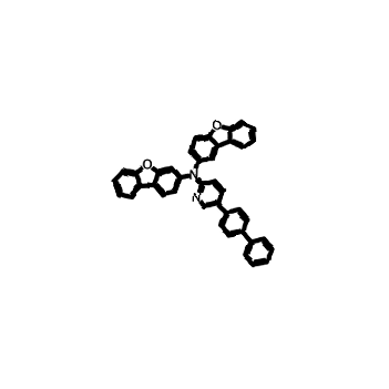 c1ccc(-c2ccc(-c3ccc(N(c4ccc5c(c4)oc4ccccc45)c4ccc5oc6ccccc6c5c4)nc3)cc2)cc1